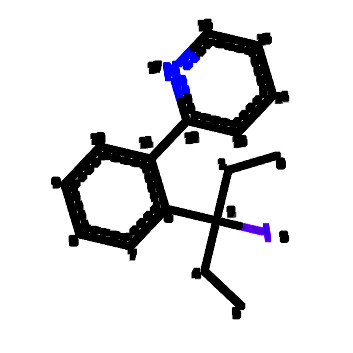 CCC(I)(CC)c1ccccc1-c1ccccn1